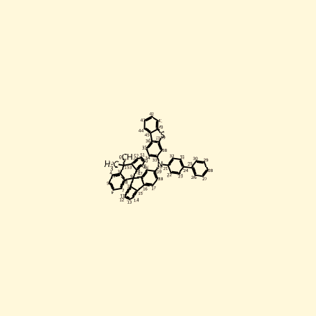 CC1(C)c2ccccc2C2(c3ccccc3-c3ccc(N(c4ccc(-c5ccccc5)cc4)c4ccc5c(c4)sc4ccccc45)cc32)c2ccccc21